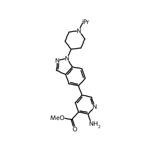 COC(=O)c1cc(-c2ccc3c(cnn3C3CCN(C(C)C)CC3)c2)cnc1N